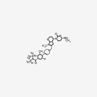 [2H]C([2H])([2H])N(C(=O)c1cc(C)c(C2=CCN(Cc3cc4c(-n5ccc(NC)nc5=O)ccnc4n3C)CC2)c(F)c1)C([2H])([2H])[2H]